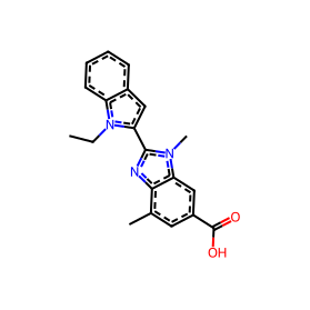 CCn1c(-c2nc3c(C)cc(C(=O)O)cc3n2C)cc2ccccc21